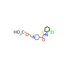 O=C(O)COCCN1CCC(C(=O)c2nc3c(Cl)cccc3s2)CC1